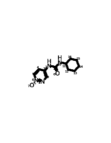 O=C(Nc1cc[n+]([O-])nc1)NC1CCCCC1